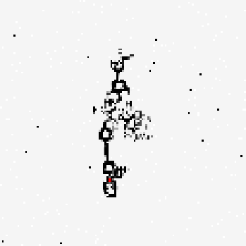 COC(=O)NC(C(=O)N[C@@H](Cc1ccc(C#Cc2ccc(N3CC4CCC(C3)N4CC3CNC3)nc2)cc1)[C@@H](O)CNCc1c(F)cc(-c2cnn(C(F)F)c2)cc1F)C(C)(C)C(F)(F)F